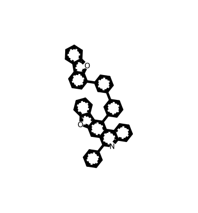 c1ccc(-c2nc3ccccc3c3c(-c4cccc(-c5cccc(-c6cccc7c6oc6ccccc67)c5)c4)c4c(cc23)oc2ccccc24)cc1